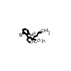 CC=CCCC1(CC(=O)O)OCCc2c1[nH]c1cccc(Br)c21